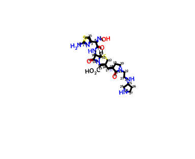 Nc1nc(/C(=N/O)C(=O)N[C@@H]2C(=O)N3C(C(=O)O)=C(/C=C4\CCN(CCNC5CCNC5)C4=O)CS[C@H]23)cs1